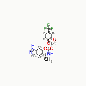 C[C@@H](NC(=O)O[C@H]1COc2cc(C(F)(F)F)ccc2O1)c1ccc2[nH]ncc2c1